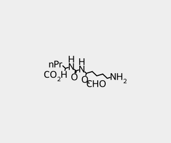 CCCC(NC(=O)NC(CCCCN)OC=O)C(=O)O